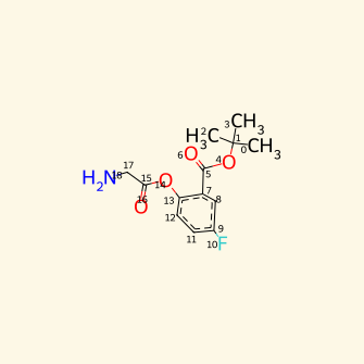 CC(C)(C)OC(=O)c1cc(F)ccc1OC(=O)CN